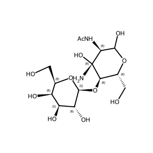 CC(=O)N[C@H]1C(O)O[C@H](CO)[C@@H](O[C@@H]2O[C@H](CO)[C@H](O)[C@H](O)[C@H]2O)[C@]1(N)O